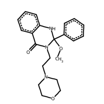 COC1(c2ccccc2)Nc2ccccc2C(=O)N1CCN1CCOCC1